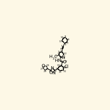 Cc1cc(C#Cc2ccccc2)cnc1NC(=O)c1cc(-c2noc(C3CCOC3)n2)ccc1Cl